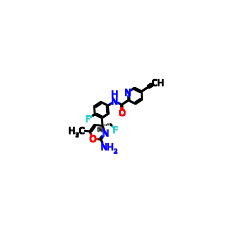 C#Cc1ccc(C(=O)Nc2ccc(F)c([C@]3(CF)C=C(C)OC(N)=N3)c2)nc1